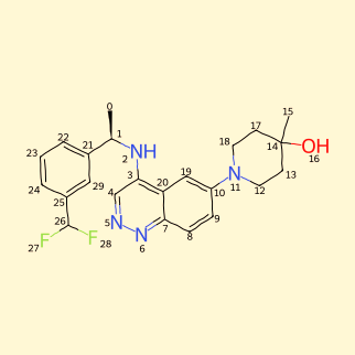 C[C@@H](Nc1cnnc2ccc(N3CCC(C)(O)CC3)cc12)c1cccc(C(F)F)c1